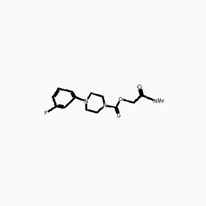 CNC(=O)COC(=O)N1CCN(c2cccc(F)c2)CC1